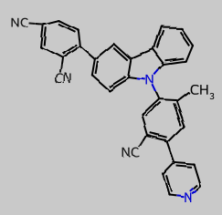 Cc1cc(-c2ccncc2)c(C#N)cc1-n1c2ccccc2c2cc(-c3ccc(C#N)cc3C#N)ccc21